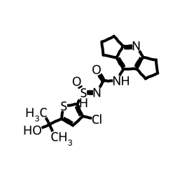 CC(C)(O)c1cc(Cl)c(/[SH](=O)=N/C(=O)Nc2c3c(nc4c2CCC4)CCC3)s1